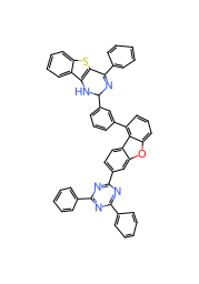 c1ccc(C2=NC(c3cccc(-c4cccc5oc6cc(-c7nc(-c8ccccc8)nc(-c8ccccc8)n7)ccc6c45)c3)Nc3c2sc2ccccc32)cc1